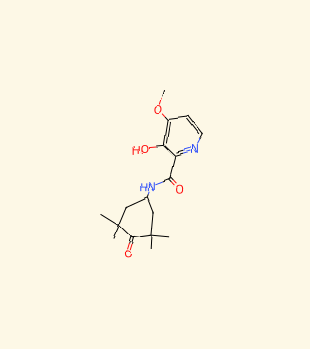 COc1ccnc(C(=O)NC2CC(C)(C)C(=O)C(C)(C)C2)c1O